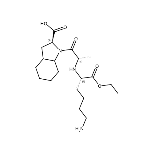 CCOC(=O)[C@H](CCCCN)N[C@@H](C)C(=O)N1C2CCCCC2C[C@H]1C(=O)O